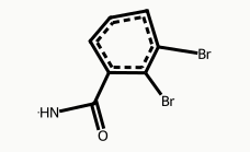 [NH]C(=O)c1cccc(Br)c1Br